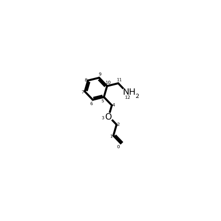 C=CCOCc1ccccc1CN